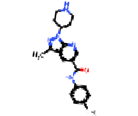 Cc1ccc(NC(=O)c2cnc3c(c2)c(C)nn3C2CCNCC2)cc1